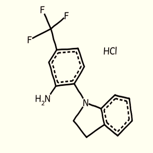 Cl.Nc1cc(C(F)(F)F)ccc1N1CCc2ccccc21